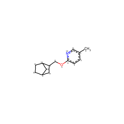 Cc1ccc(OCC2CC3CCC2C3)nc1